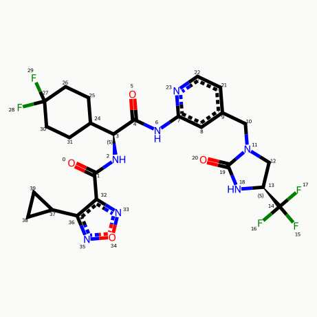 O=C(N[C@H](C(=O)Nc1cc(CN2C[C@@H](C(F)(F)F)NC2=O)ccn1)C1CCC(F)(F)CC1)c1nonc1C1CC1